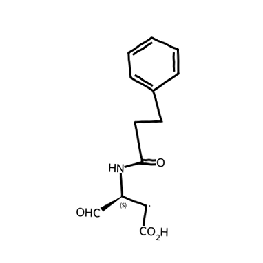 O=C[C@H]([CH]C(=O)O)NC(=O)CCc1ccccc1